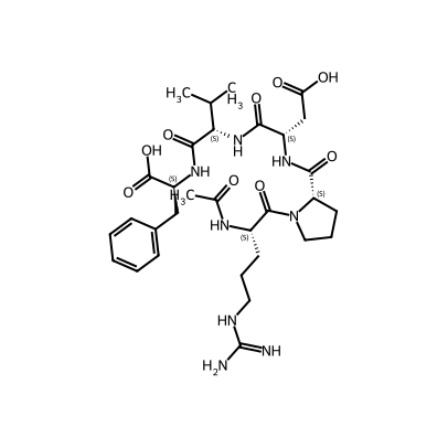 CC(=O)N[C@@H](CCCNC(=N)N)C(=O)N1CCC[C@H]1C(=O)N[C@@H](CC(=O)O)C(=O)N[C@H](C(=O)N[C@@H](Cc1ccccc1)C(=O)O)C(C)C